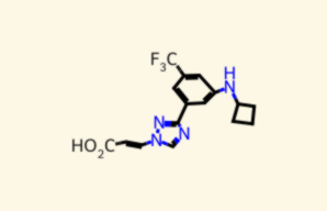 O=C(O)C=Cn1cnc(-c2cc(NC3CCC3)cc(C(F)(F)F)c2)n1